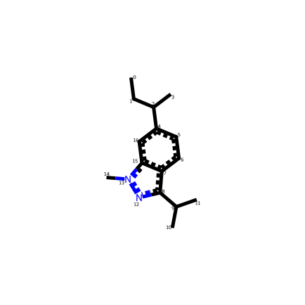 CCC(C)c1ccc2c(C(C)C)nn(C)c2c1